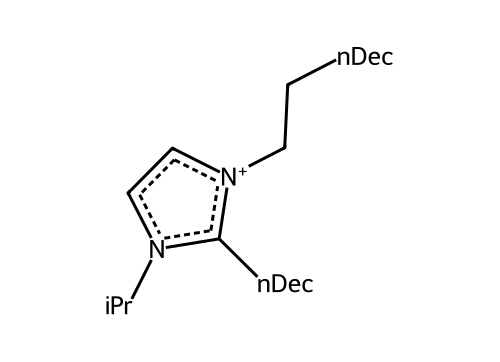 CCCCCCCCCCCC[n+]1ccn(C(C)C)c1CCCCCCCCCC